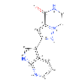 O=C1NCCn2nc(-c3c[nH]c4ncccc34)cc21